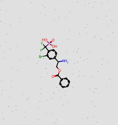 NC(COC(=O)c1ccccc1)c1ccc(C(F)(F)P(=O)(O)O)c(Br)c1